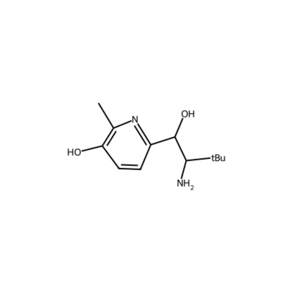 Cc1nc(C(O)C(N)C(C)(C)C)ccc1O